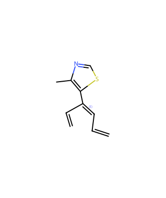 C=C/C=C(\C=C)c1scnc1C